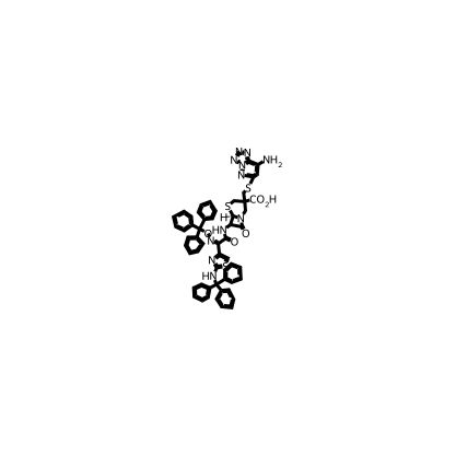 Nc1cc(SCC2(C(=O)O)CS[C@@H]3C(NC(=O)C(=NOC(c4ccccc4)(c4ccccc4)c4ccccc4)c4csc(NC(c5ccccc5)(c5ccccc5)c5ccccc5)n4)C(=O)N3C2)nn2nnnc12